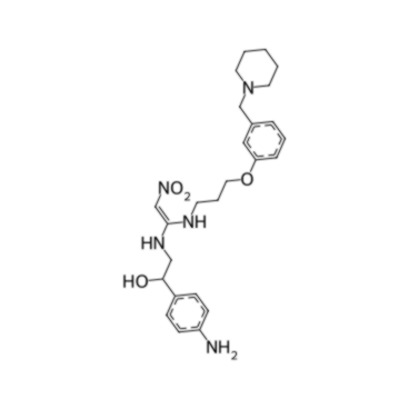 Nc1ccc(C(O)CNC(=C[N+](=O)[O-])NCCCOc2cccc(CN3CCCCC3)c2)cc1